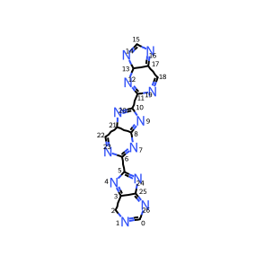 C1=NCC2=NC(C3=NC4=NC(C5=NC6N=CN=C6C=N5)=NC4C=N3)=NC2=N1